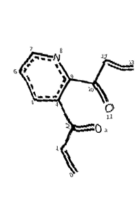 C=CC(=O)c1cccnc1C(=O)C=C